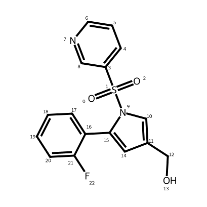 O=S(=O)(c1cccnc1)n1cc(CO)cc1-c1ccccc1F